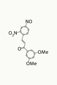 COc1cc(OC)cc(C(=O)/C=C/c2ccc(N=O)cc2[N+](=O)[O-])c1